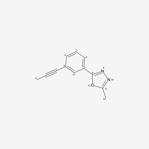 CC#Cc1cccc(-c2nnc(C)o2)c1